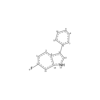 Fc1ccc2c(-c3cc[c]cc3)c[nH]c2c1